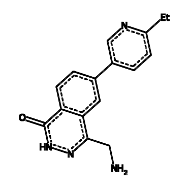 CCc1ccc(-c2ccc3c(=O)[nH]nc(CN)c3c2)cn1